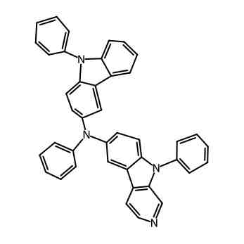 c1ccc(N(c2ccc3c(c2)c2ccccc2n3-c2ccccc2)c2ccc3c(c2)c2ccncc2n3-c2ccccc2)cc1